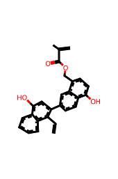 C=Cc1c(-c2ccc3c(O)ccc(COC(=O)C(=C)C)c3c2)cc(O)c2ccccc12